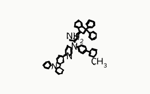 CC1C=C(c2ccc(N(/C(=C/C=C3\CC(c4ccccc4)(c4ccccc4)c4ccccc43)CN)c3ccc(C4C=Cc5c(c6c(n5-c5ccccc5)C=CCC6)C4)nc3)cc2)C=CC1